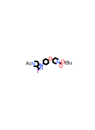 CC(=O)N1CCc2c(c(I)nn2C2CCC(OC3CCN(C(=O)OC(C)(C)C)CC3)CC2)C1